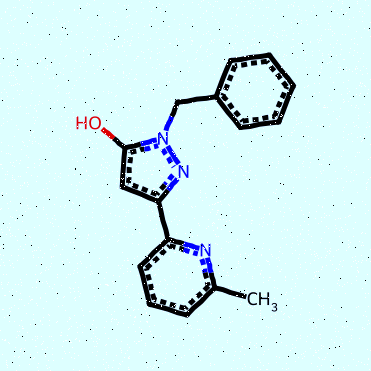 Cc1cccc(-c2cc(O)n(Cc3ccccc3)n2)n1